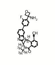 [2H]C([2H])([2H])N1C(=O)c2cccc(C#C)c2[C@H]2C[C@@H]1c1nc3ccc(-c4ccc(C5(N)COC5)c(F)c4)cc3n12